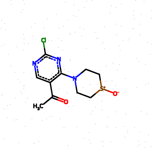 CC(=O)c1cnc(Cl)nc1N1CC[S+]([O-])CC1